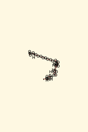 COc1cc2c(cc1OCCCOc1cc3c(cc1OC)C(=O)N1C=C(C4CC4)C[C@H]1CN3)NC[C@@H]1CC(c3ccc(NC(=O)[C@H](C)NC(=O)[C@@H](NC(=O)CCOCCOCCOCCOCCOCCOCCOCCOCCNC(=O)CCN4C(=O)C=CC4=O)C(C)C)cc3)=CN1C2=O